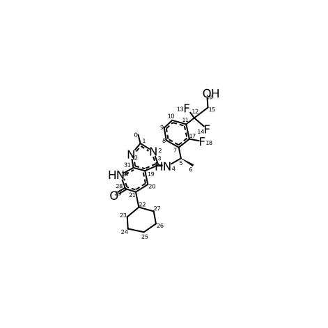 Cc1nc(N[C@H](C)c2cccc(C(F)(F)CO)c2F)c2cc(C3CCCCC3)c(=O)[nH]c2n1